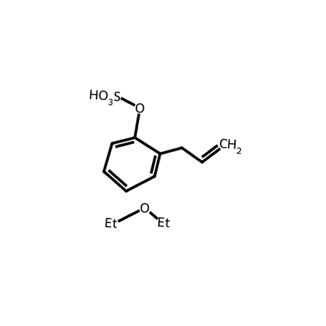 C=CCc1ccccc1OS(=O)(=O)O.CCOCC